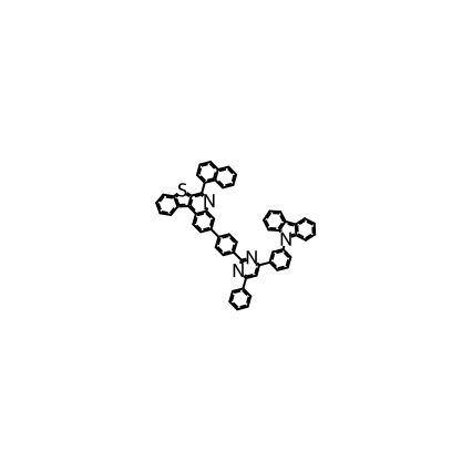 c1ccc(-c2cc(-c3cccc(-n4c5ccccc5c5ccccc54)c3)nc(-c3ccc(-c4ccc5c(c4)nc(-c4cccc6ccccc46)c4sc6ccccc6c45)cc3)n2)cc1